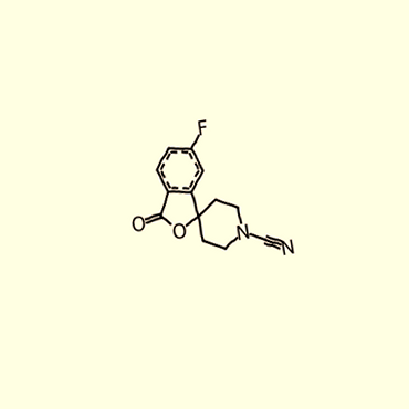 N#CN1CCC2(CC1)OC(=O)c1ccc(F)cc12